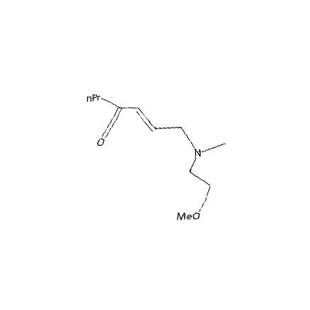 CCCC(=O)/C=C/CN(C)CCOC